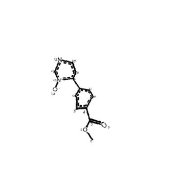 COC(=O)c1ccc(-c2ccnc[n+]2[O-])cc1